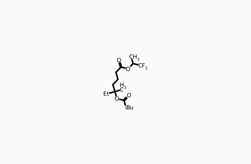 CCC(C)C(=O)OC(C)(CC)CCCC(=O)OC(C)C(F)(F)F